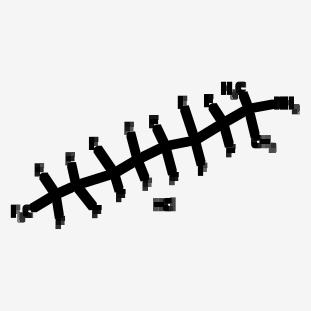 CC(C)(N)C(F)(F)C(F)(F)C(F)(F)C(F)(F)C(F)(F)C(F)(F)C(F)(F)C(F)(F)F.Cl